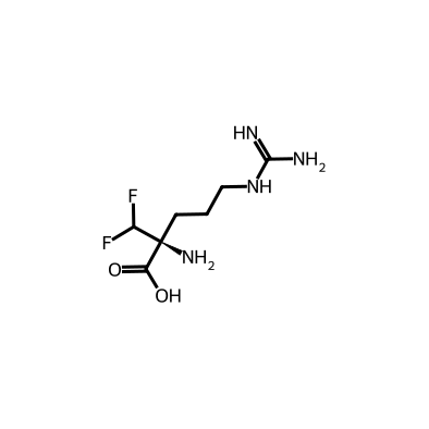 N=C(N)NCCC[C@](N)(C(=O)O)C(F)F